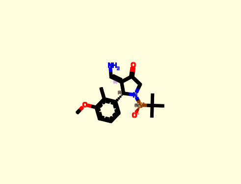 COc1cccc([C@@H]2/C(=C/N)C(=O)CN2[S@+]([O-])C(C)(C)C)c1C